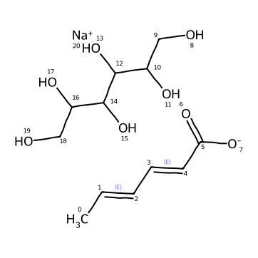 C/C=C/C=C/C(=O)[O-].OCC(O)C(O)C(O)C(O)CO.[Na+]